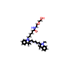 CCN1/C(=C/C=C/C=C/C2=[N+](CCCCCC(=O)NCCOCCO)c3ccccc3C2(C)C)C(C)(C)c2ccccc21